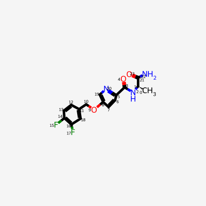 C[C@H](NC(=O)c1ccc(OCc2ccc(F)c(F)c2)cn1)C(N)=O